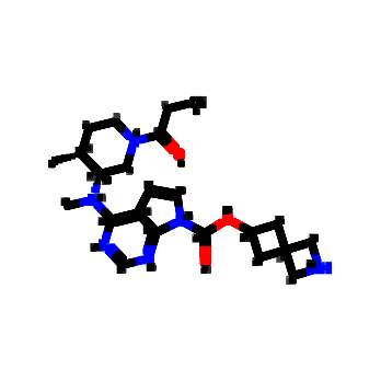 C[C@@H]1CCN(C(=O)CC#N)C[C@@H]1N(C)c1ncnc2c1ccn2C(=O)OC1CC2(CNC2)C1